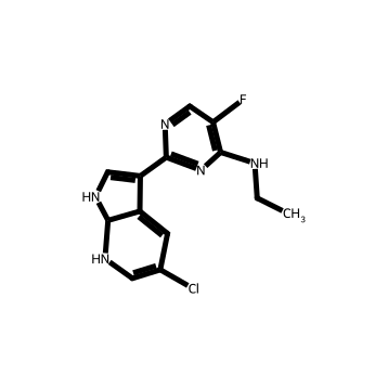 CCNc1nc(C2=CNC3NC=C(Cl)C=C23)ncc1F